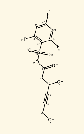 O=C(CC(O)C#CCO)OS(=O)(=O)c1c(F)cc(F)cc1F